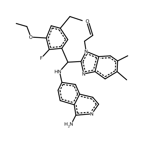 CCOc1cc(CC)cc(C(Nc2ccc3c(N)nccc3c2)c2nc3cc(C)c(C)cc3n2CC=O)c1F